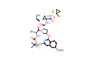 CCC/C=C\[C@@H]1C[C@]1(NC(=O)[C@@H]1C[C@@H](Oc2nc(OC)cc3cc(OC)ccc23)CN1C(=O)[C@@H](NC(=O)OC(C)(C)C(F)(F)F)C(C)C)C(=O)NS(=O)(=O)C1(CF)CC1